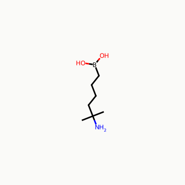 CC(C)(N)CCCCB(O)O